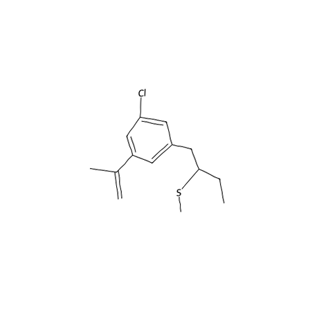 C=C(C)c1cc(Cl)cc(CC(CC)SC)c1